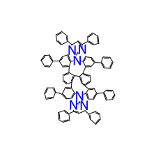 c1ccc(-c2ccc3c(c2)c2cccc4c5cc(-c6ccccc6)ccc5n(-c5nc(-c6ccccc6)cc(-c6ccccc6)n5)c5ccc(-c6ccccc6)cc5c5cccc(c6cc(-c7ccccc7)ccc6n3-c3nc(-c6ccccc6)cc(-c6ccccc6)n3)c5c24)cc1